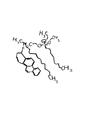 CCCCCCCCCCCCC.CCCCCCCC[Si](OCC)(OCC)OCC.FC1CC=Cc2c1ccc1c2ccc2ccccc21